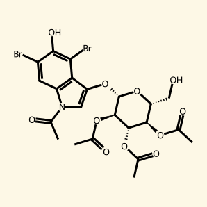 CC(=O)O[C@@H]1[C@@H](OC(C)=O)[C@H](Oc2cn(C(C)=O)c3cc(Br)c(O)c(Br)c23)O[C@H](CO)[C@H]1OC(C)=O